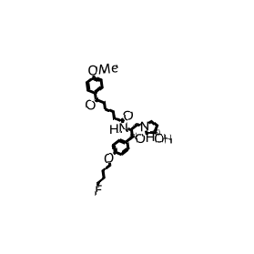 COc1ccc(C(=O)CCCCC(=O)NC(CN2CC[C@H](O)C2)[C@H](O)c2ccc(OCCCCF)cc2)cc1